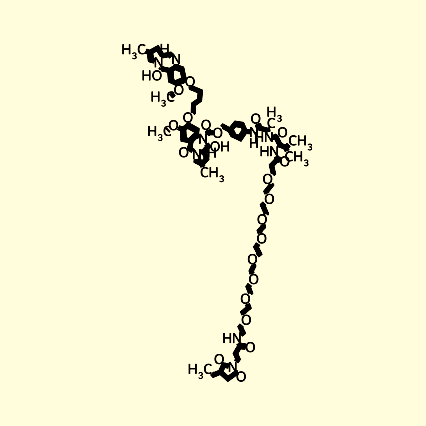 CCC1CC(=O)N(CCC(=O)NCCOCCOCCOCCOCCOCCOCCOCCOCCC(=O)N[C@H](C(=O)N[C@@H](C)C(=O)Nc2ccc(COC(=O)N3c4cc(OCCCCCOc5cc6c(cc5OC)C(O)N5C=C(C)C[C@H]5C=N6)c(OC)cc4C(=O)N4C=C(C)C[C@H]4[C@@H]3O)cc2)C(C)C)C1=O